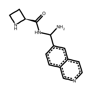 NC(NC(=O)[C@@H]1CCN1)c1ccc2cnccc2c1